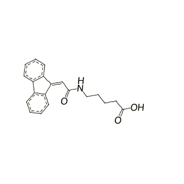 O=C(O)CCCCNC(=O)C=C1c2ccccc2-c2ccccc21